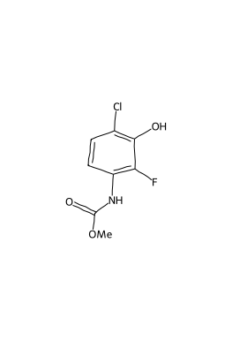 COC(=O)Nc1ccc(Cl)c(O)c1F